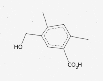 Cc1cc(C)c(C(=O)O)cc1CO